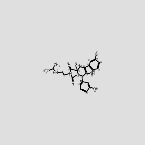 CC(C)NCCN1C(=O)N2[C@H](c3cccc(O)c3)c3[nH]c4ccc(Br)cc4c3C[C@@]2(C)C1=O